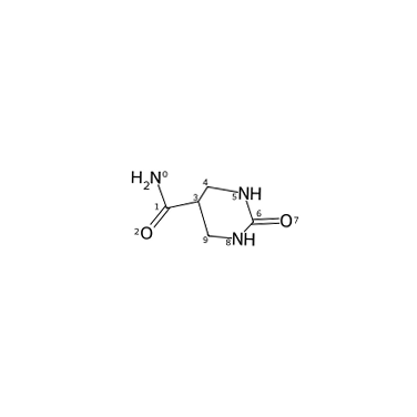 NC(=O)C1CNC(=O)NC1